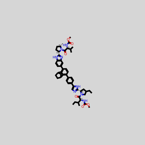 CCC1C[C@@H](c2ncc(-c3ccc(-c4ccc(-c5ccc6[nH]c([C@@H]7CC[C@H](C)N7C(=O)[C@@H](NC(=O)OC)C(C)C)nc6c5)c5c4C4CCC5C4)cc3)[nH]2)N(C(=O)[C@@H](NC(=O)OC)C(C)CC)C1